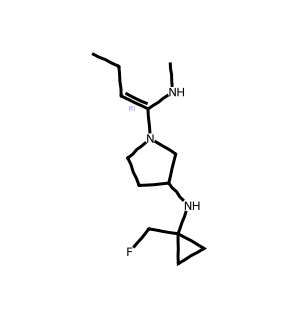 CC/C=C(\NC)N1CCC(NC2(CF)CC2)C1